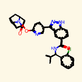 CC(C)C(NC(=O)c1ccc2[nH]nc(-c3ccc(OC4CC5CCC(C4)N5C=O)nc3)c2c1)c1ccccc1Cl